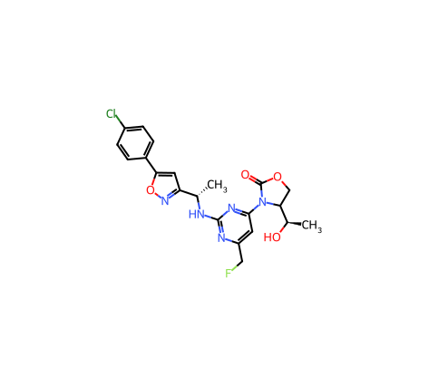 C[C@H](Nc1nc(CF)cc(N2C(=O)OCC2[C@@H](C)O)n1)c1cc(-c2ccc(Cl)cc2)on1